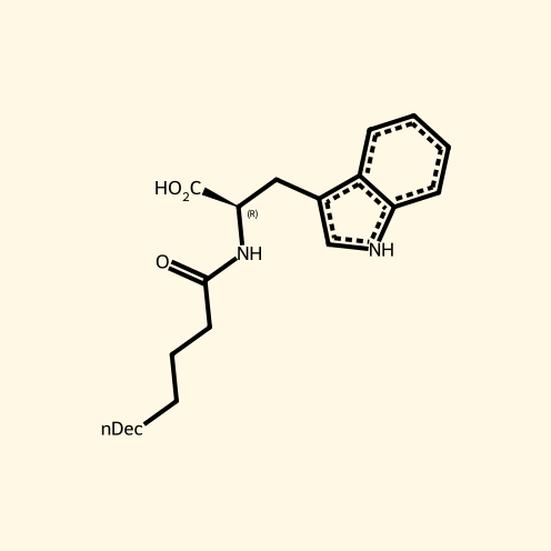 CCCCCCCCCCCCCC(=O)N[C@H](Cc1c[nH]c2ccccc12)C(=O)O